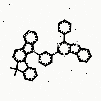 CC1(C)c2ccccc2-c2c1ccc1c3ccccc3n(-c3cccc(-c4nc(-c5ccccc5)c5oc6ccccc6c5n4)c3)c21